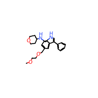 COCCOCc1cc(NC2CCOCC2)c2[nH]cc(-c3ccccc3)c2c1